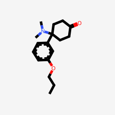 CCCOc1cccc(C2(N(C)C)CCC(=O)CC2)c1